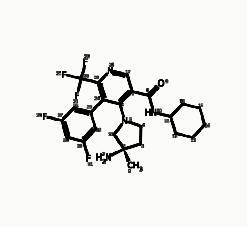 C[C@]1(N)CCN(c2c(C(=O)NC3CCCCC3)cnc(C(F)(F)F)c2-c2cc(F)cc(F)c2)C1